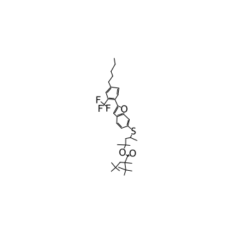 CCCCCc1ccc(-c2cc3ccc(SC(C)CC(C)(C)OC(=O)C(C)(CC(C)(C)C)C(C)(C)C)cc3o2)c(C(F)(F)F)c1